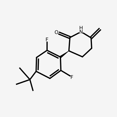 C=C1CC[C@@H](c2c(F)cc(C(C)(C)C)cc2F)C(=O)N1